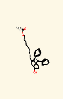 C=C(c1ccccc1)C12CCC(O)C1CC(CCCCCCCCOC(C)=O)=C2c1ccccc1